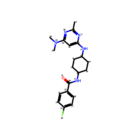 Cc1nc(NC2CCC(NC(=O)c3ccc(F)cc3)CC2)cc(N(C)C)n1